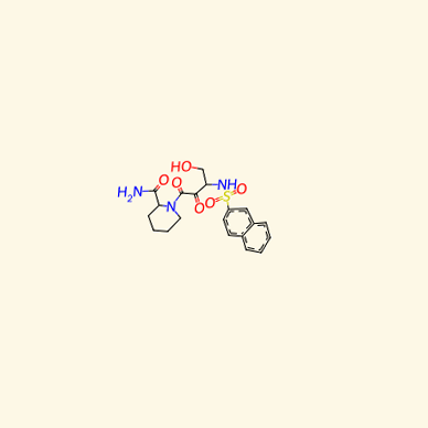 NC(=O)C1CCCCN1C(=O)C(=O)C(CO)NS(=O)(=O)c1ccc2ccccc2c1